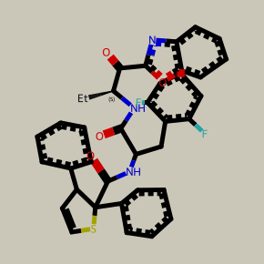 CC[C@H](NC(=O)C(Cc1c(F)cccc1F)NC(=O)C1(c2ccccc2)SC=CC1c1ccccc1)C(=O)c1nc2ccccc2o1